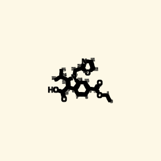 CCOC(=O)c1ccc2c(C(=O)O)c(C(C)C)n(Cc3ncco3)c2c1